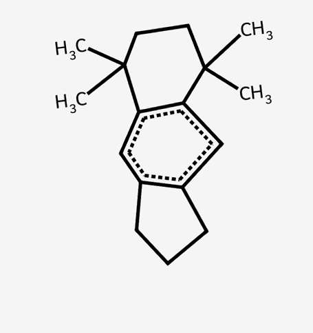 CC1(C)CCC(C)(C)c2cc3c(cc21)CCC3